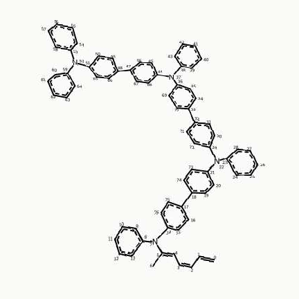 C=C/C=C\C=C(/C)N(c1ccccc1)c1ccc(-c2ccc(N(c3ccccc3)c3ccc(-c4ccc(N(c5ccccc5)c5ccc(-c6ccc(N(c7ccccc7)c7ccccc7)cc6)cc5)cc4)cc3)cc2)cc1